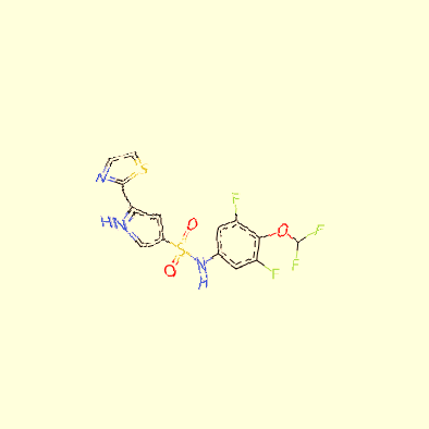 O=S(=O)(Nc1cc(F)c(OC(F)F)c(F)c1)c1c[nH]c(-c2nccs2)c1